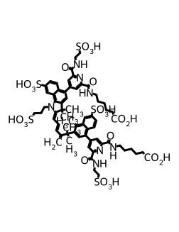 C=C(/C=C/C=C1/N(CCCS(=O)(=O)O)c2c(cc(-c3cc(C(=O)NCCCCCC(=O)O)nc(C(=O)NCCS(=O)(=O)O)c3)c3ccc(S(=O)(=O)O)cc23)C1(C)C)C(C)(C)c1cc(-c2cc(C(=O)NCCCCCC(=O)O)nc(C(=O)NCCS(=O)(=O)O)c2)c2ccc(S(=O)(=O)O)cc2c1C